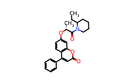 CCC1CCCCN1C(=O)[C@@H](C)Oc1ccc2c(-c3ccccc3)cc(=O)oc2c1